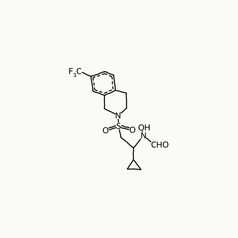 O=CN(O)C(CS(=O)(=O)N1CCc2ccc(C(F)(F)F)cc2C1)C1CC1